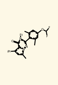 CCn1c(-c2c(C)cc(OC(F)F)cc2C)nn2c(C)cc(C(C)C)c2c1=O